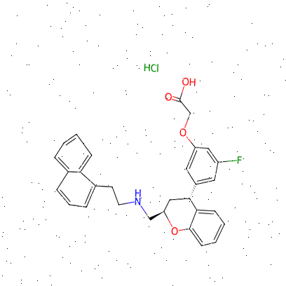 Cl.O=C(O)COc1cc(F)cc([C@H]2C[C@H](CNCCc3cccc4ccccc34)Oc3ccccc32)c1